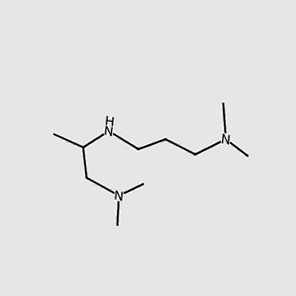 CC(CN(C)C)NCCCN(C)C